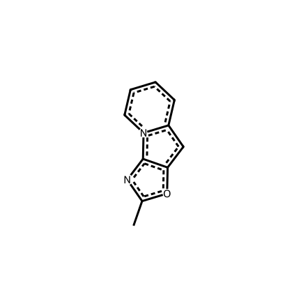 Cc1nc2c(cc3ccccn32)o1